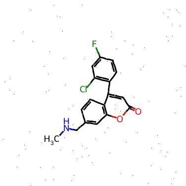 CNCc1ccc2c(-c3ccc(F)cc3Cl)cc(=O)oc2c1